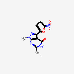 Cc1nc2c(c(-c3ccc([N+](=O)[O-])o3)nn2C)c(=O)[nH]1